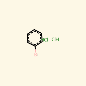 Cl.Cl.[B]c1ccccc1